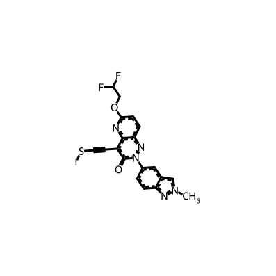 Cn1cc2cc(-n3nc4ccc(OCC(F)F)nc4c(C#CSI)c3=O)ccc2n1